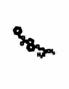 CN(C)CCOc1cccc2c1CCN2C(=O)OCc1ccccc1